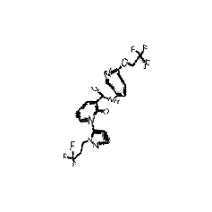 O=C(Nc1ccc(OCC(F)(F)F)nc1)c1cccn(-c2ccnn2CCC(F)(F)F)c1=O